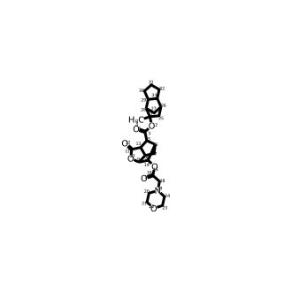 CC1(OC(=O)C2C3CC4C(OC(=O)C42)C3OC(=O)CN2CCOCC2)CC2CC1C1CCCC21